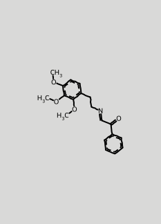 COc1ccc(CCN=CC(=O)c2ccccc2)c(OC)c1OC